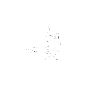 CC[C@H]1OC(=O)[C@H](C)C(=O)[C@H](C)[C@@H](O[C@@H]2O[C@H](C)C[C@H](N(C)C)[C@H]2OC(=O)c2ccccc2)[C@](C)(OC/C=C/c2cnc3ccccc3c2)C[C@@H](C)C(=O)[C@H](C)[C@@H](N(C)CC2CCN(C)C2)[C@]1(C)OC=O